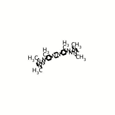 CCn1cc[n+](CC)c1N=Nc1ccc(N2CCN(c3ccc(N=Nc4n(CC)cc[n+]4CC)c(C)c3)CC2)cc1C